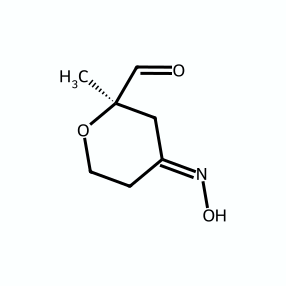 C[C@]1(C=O)CC(=NO)CCO1